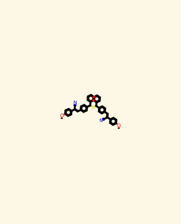 COc1ccc(C(C#N)=Cc2ccc(C(SC(c3ccccc3)c3ccc(C=C(C#N)c4ccc(OC)cc4)cc3)c3ccccc3)cc2)cc1